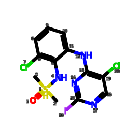 C[SH](C)(=O)Nc1c(Cl)cccc1Nc1nc(I)ncc1Cl